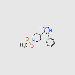 CS(=O)(=O)N1CCC(c2[nH]cnc2-c2ccccc2)CC1